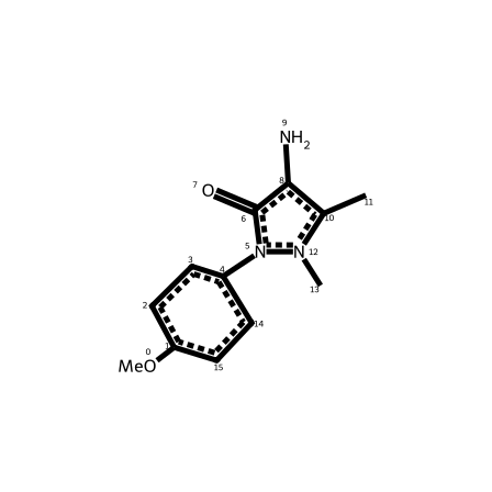 COc1ccc(-n2c(=O)c(N)c(C)n2C)cc1